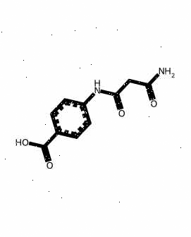 NC(=O)CC(=O)Nc1ccc(C(=O)O)cc1